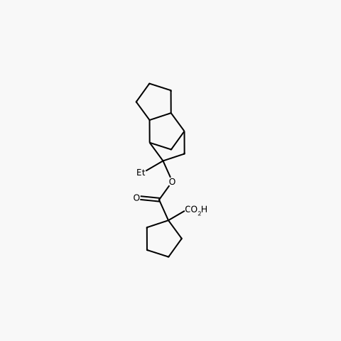 CCC1(OC(=O)C2(C(=O)O)CCCC2)CC2CC1C1CCCC21